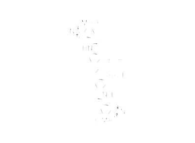 COc1ccc(C(=O)Nc2ccc(C=Cc3ccc(NC(=O)c4ccc(OC)c(S(=O)(=O)N5CCCCC5)c4)cc3S(=O)(=O)O)c(S(=O)(=O)O)c2)cc1S(=O)(=O)N1CCCCC1